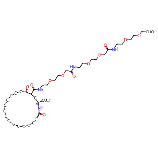 O=[C]COCCOCCNC(=O)COCCOCCNC(=O)COCCOCCNC(=O)C1C[C@@H](C(=O)O)NC(=O)CCCCCCCCCCCCCCC1=O